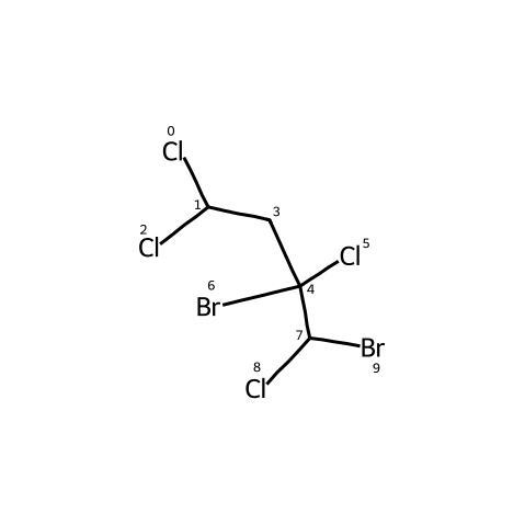 ClC(Cl)CC(Cl)(Br)C(Cl)Br